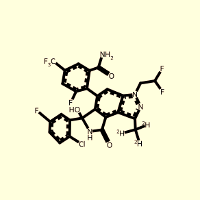 [2H]C([2H])([2H])c1nn(CC(F)F)c2cc(-c3c(F)cc(C(F)(F)F)cc3C(N)=O)c3c(c12)C(=O)NC3(O)c1cc(F)ccc1Cl